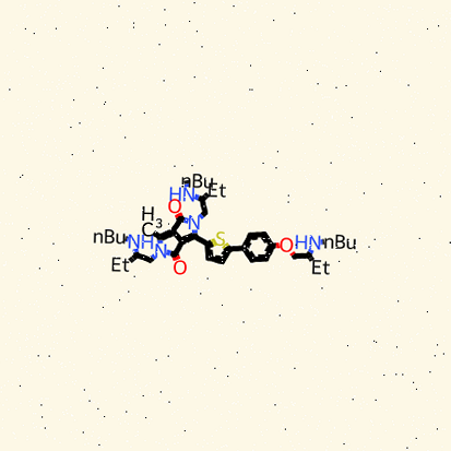 CCCCNC(CC)COc1ccc(-c2ccc(C3=C4C(=O)N(CC(CC)NCCCC)C(C)=C4C(=O)N3CC(CC)NCCCC)s2)cc1